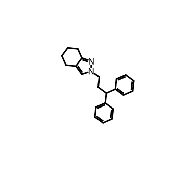 c1ccc(C(CCn2cc3c(n2)CCCC3)c2ccccc2)cc1